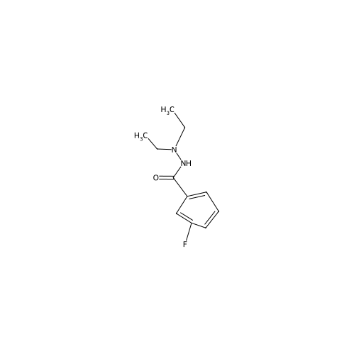 CCN(CC)NC(=O)c1cccc(F)c1